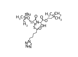 CC(C)(C)[Si](C)(C)OC[C@H]1C(=O)N(C(O)C(=O)OCC[Si](C)(C)C)[C@@H]1SC(=O)CCCCn1cnnn1